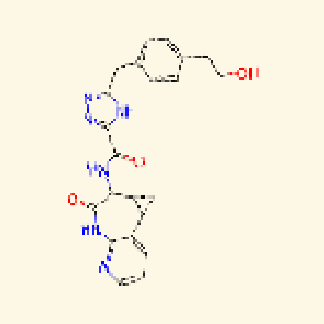 O=C(NC1C(=O)Nc2ncccc2C2CC12)c1nnc(Cc2ccc(CCO)cc2)[nH]1